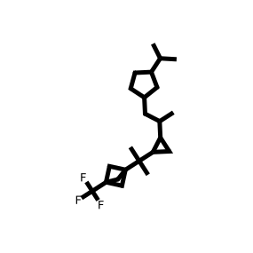 CC(C)C1CCC(CC(C)C2CC2C(C)(C)C23CC(C(F)(F)F)(C2)C3)C1